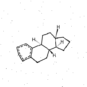 c1ccc2c(c1)CC[C@H]1[C@@H]3CCC[C@H]3CC[C@H]21